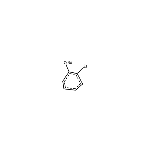 C[CH]c1ccccc1OCC(C)C